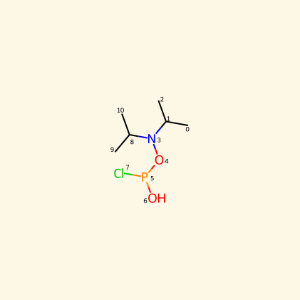 CC(C)N(OP(O)Cl)C(C)C